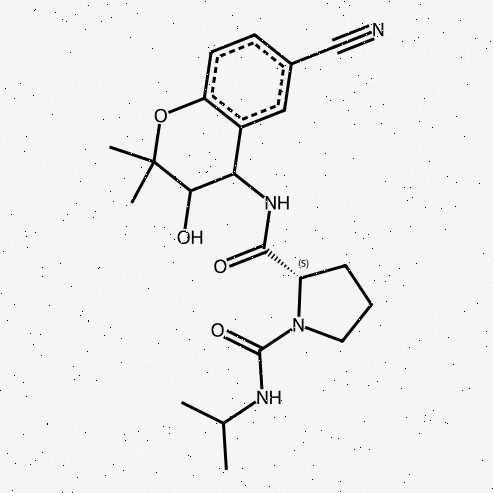 CC(C)NC(=O)N1CCC[C@H]1C(=O)NC1c2cc(C#N)ccc2OC(C)(C)C1O